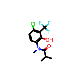 CC(C)C(=O)N(C)c1ccc(Cl)c(C(F)(F)F)c1O